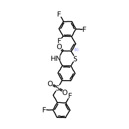 O=C1Nc2cc(S(=O)(=O)Cc3c(F)cccc3F)ccc2S/C1=C/c1c(F)cc(F)cc1F